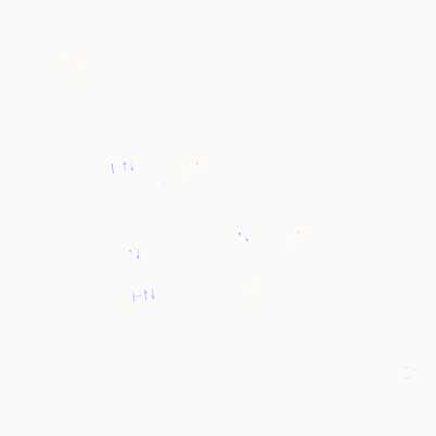 CCc1ccc(S(=O)(=O)Nc2c[nH]nc2C(=O)NCc2ccco2)cc1